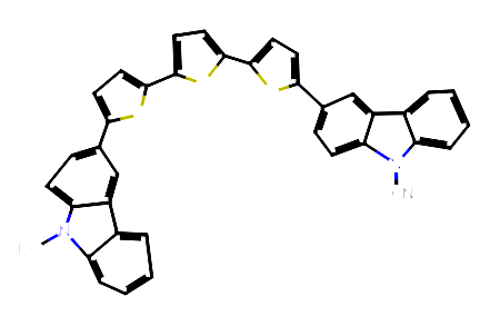 Cn1c2ccccc2c2cc(-c3ccc(-c4ccc(-c5ccc(-c6ccc7c(c6)c6ccccc6n7C#N)s5)s4)s3)ccc21